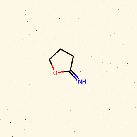 N=C1CCCO1